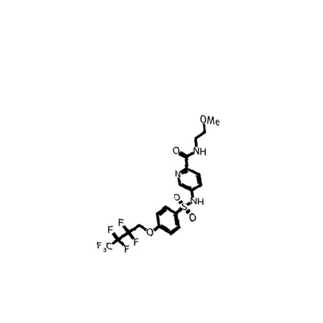 COCCNC(=O)c1ccc(NS(=O)(=O)c2ccc(OCC(F)(F)C(F)(F)C(F)(F)F)cc2)cn1